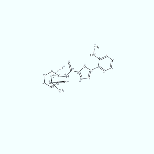 CNc1ccccc1-c1cnc(C(=O)N[C@@H]2C3CCN(CC3)[C@H]2C)o1